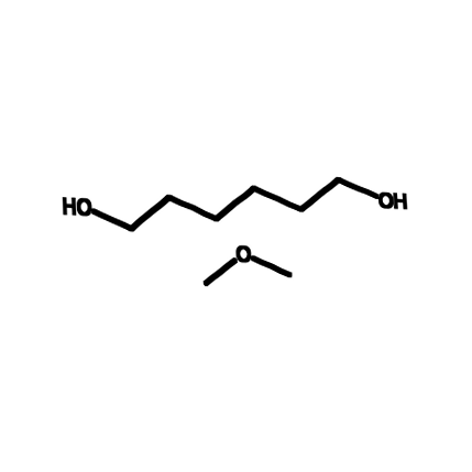 COC.OCCCCCCO